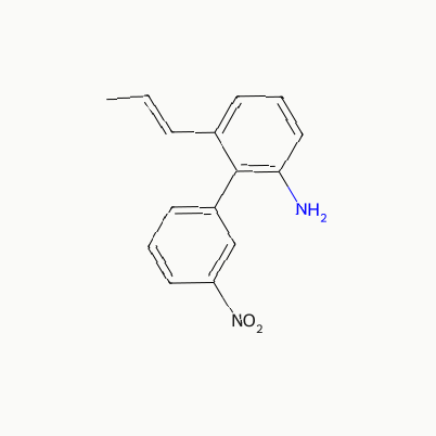 CC=Cc1cccc(N)c1-c1cccc([N+](=O)[O-])c1